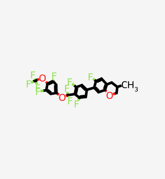 CC1COc2cc(-c3cc(F)c(C(F)(F)Oc4cc(F)c(OC(F)(F)F)c(F)c4)c(F)c3)c(F)cc2C1